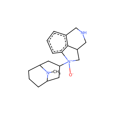 CN1C2CCCC1CC([N+]1([O-])CC3CNCc4cccc1c43)C2